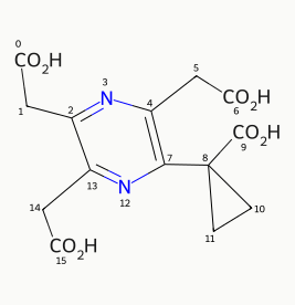 O=C(O)Cc1nc(CC(=O)O)c(C2(C(=O)O)CC2)nc1CC(=O)O